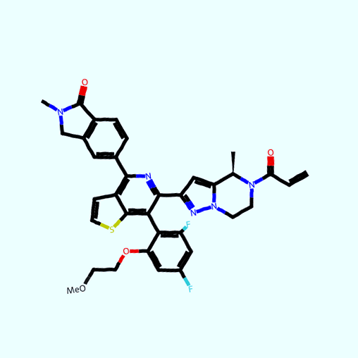 C=CC(=O)N1CCn2nc(-c3nc(-c4ccc5c(c4)CN(C)C5=O)c4ccsc4c3-c3c(F)cc(F)cc3OCCOC)cc2[C@H]1C